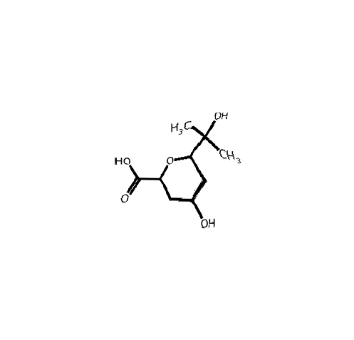 CC(C)(O)C1CC(O)CC(C(=O)O)O1